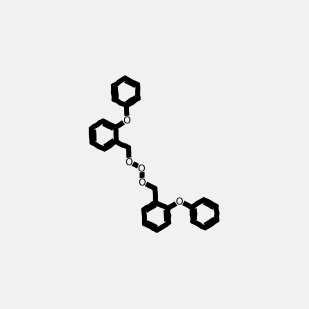 c1ccc(Oc2ccccc2COOOCc2ccccc2Oc2ccccc2)cc1